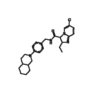 CCC1N=C2C=CC(Cl)=CN2C1C(=O)NCc1ccc(N2CCC3CCCCC3C2)cc1